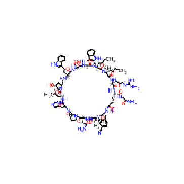 CCCC[C@H]1C(=O)N(C)[C@@H](CCCC)C(=O)N[C@@H](CCCNC(=N)N)C(=O)N[C@H](C(=O)NCC(N)=O)CSCC(=O)N[C@@H](Cc2ccc(C#N)cc2)C(=O)N(C)[C@@H](C)C(=O)N[C@@H](CC(N)=O)C(=O)N2CCC[C@H]2C(=O)N[C@@H](Cc2cnc[nH]2)C(=O)N[C@@H](CC(C)C)C(=O)N2C[C@H](O)CC2CN[C@@H](CCc2c[nH]c3ccccc23)C(=O)N[C@@H](CO)C(=O)N[C@@H](Cc2c[nH]c3ccccc23)C(=O)N1C